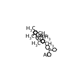 C1CCC(P(C2CCCCC2)C2CCCCC2)CC1.Cc1cc(C)c(N2CCN(c3c(C)cc(C)cc3C)[C]2=[Ru])c(C)c1.[Ar]